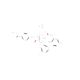 CNC(=O)c1ccc(N2C[C@H]3[C@@H](C2=O)[C@H](c2cccc(Cl)c2F)[C@@]2(Cc4ccc(Cl)cc4NC2=O)N3CC2CC2)cc1